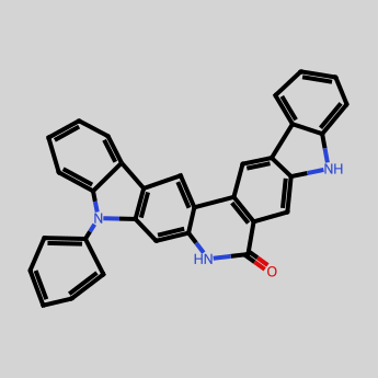 O=c1[nH]c2cc3c(cc2c2cc4c(cc12)[nH]c1ccccc14)c1ccccc1n3-c1ccccc1